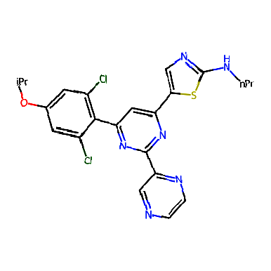 CCCNc1ncc(-c2cc(-c3c(Cl)cc(OC(C)C)cc3Cl)nc(-c3cnccn3)n2)s1